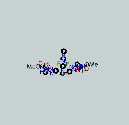 COC(=O)N[C@H](C(=O)N1CCC[C@H]1c1nc2cc([C@H]3CC[C@H](c4ccc5[nH]c([C@@H]6CCCN6C(=O)[C@@H](NC(=O)OC)C(C)C)nc5c4)N3c3cc(F)c(N4CCN(c5ccccc5)CC4)c(F)c3)ccc2[nH]1)C(C)C